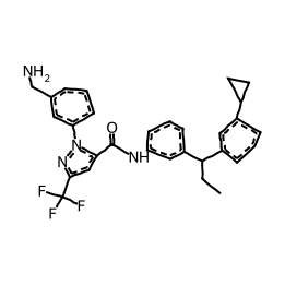 CCC(c1cccc(NC(=O)c2cc(C(F)(F)F)nn2-c2cccc(CN)c2)c1)c1cccc(C2CC2)c1